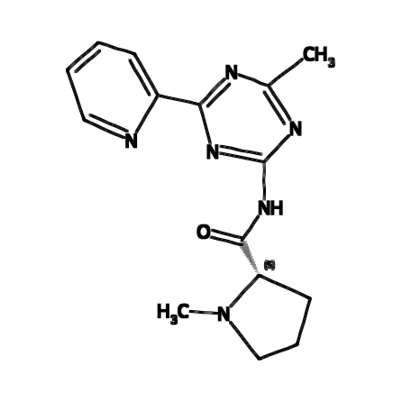 Cc1nc(NC(=O)[C@@H]2CCCN2C)nc(-c2ccccn2)n1